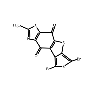 Cc1nc2c(s1)C(=O)c1sc3c(Br)sc(Br)c3c1C2=O